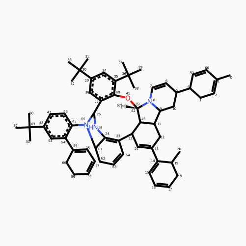 CC1=CCC(C2C=CN3C(C2)C2CC(C4=CC=CCC4C)=CC4C5=C6NC(c7cc(C(C)(C)C)cc(C(C)(C)C)c7O[C@H]3C42)N(c2ccc(C(C)(C)C)cc2C2=CC=CCC2)C6CC=C5)C=C1